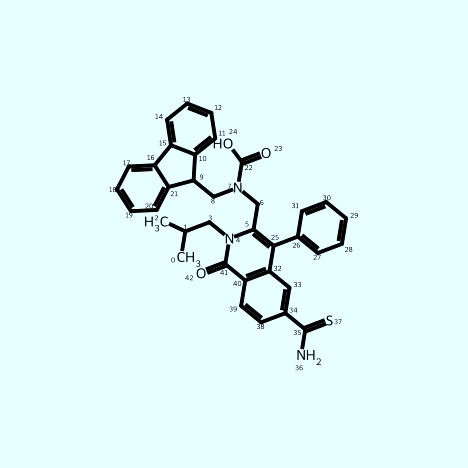 CC(C)Cn1c(CN(CC2c3ccccc3-c3ccccc32)C(=O)O)c(-c2ccccc2)c2cc(C(N)=S)ccc2c1=O